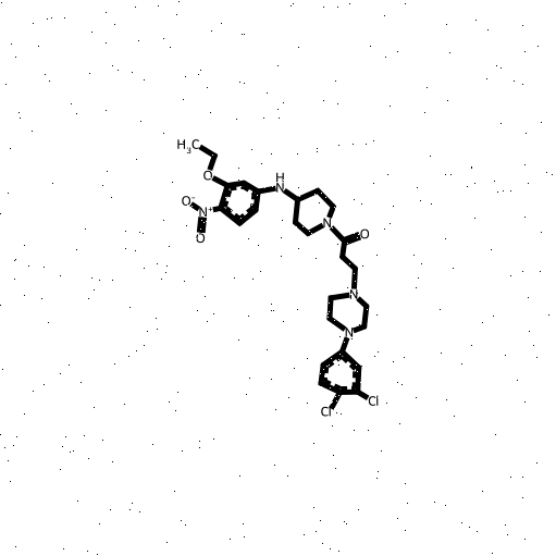 CCOc1cc(NC2CCN(C(=O)CCN3CCN(c4ccc(Cl)c(Cl)c4)CC3)CC2)ccc1[N+](=O)[O-]